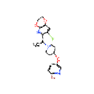 CC(c1nc2c(cc1F)OCCO2)N1CCC(Oc2ccc(Br)nc2)CC1